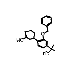 CCCC(C)(C)c1ccc(C2CCCC(O)C2)c(OCc2ccccc2)c1